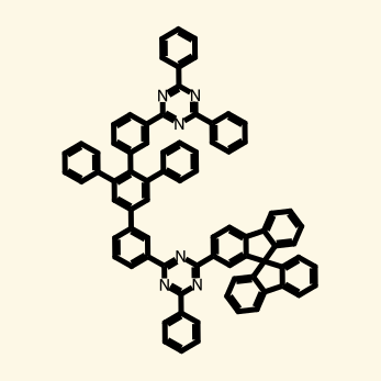 c1ccc(-c2nc(-c3ccccc3)nc(-c3cccc(-c4c(-c5ccccc5)cc(-c5cccc(-c6nc(-c7ccccc7)nc(-c7ccc8c(c7)C7(c9ccccc9-c9ccccc97)c7ccccc7-8)n6)c5)cc4-c4ccccc4)c3)n2)cc1